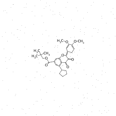 COC1=CCC(=C2Oc3cc(C(=O)OCC(C)(C)C)cc(C4CCCC4)c3C(=O)C2=O)C=C1OC